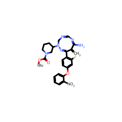 C=C1/C(N)=N\C=N/CN(C2CCCN(C(=O)OC(C)(C)C)C2)/N=C\1c1ccc(Oc2ccccc2[N+](=O)[O-])cc1F